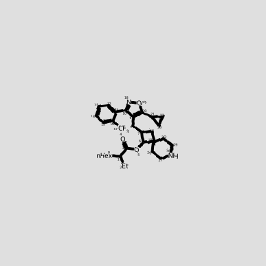 CCCCCCC(CC)C(=O)OC1C(Cc2c(-c3ccccc3C(F)(F)F)noc2C2CC2)CC12CCNCC2